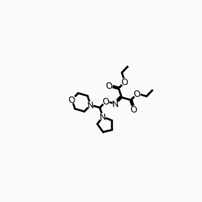 CCOC(=O)C(=NOC(N1CCCC1)N1CCOCC1)C(=O)OCC